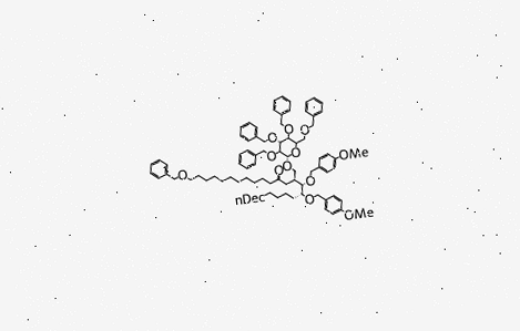 CCCCCCCCCCCCCC[C@@H](OCc1ccc(OC)cc1)[C@@H](OCc1ccc(OC)cc1)[C@H](CO[C@H]1OC(COCc2ccccc2)[C@H](OCc2ccccc2)[C@@H](OCc2ccccc2)[C@@H]1OCc1ccccc1)CC(=O)CCCCCCCCCCCOCc1ccccc1